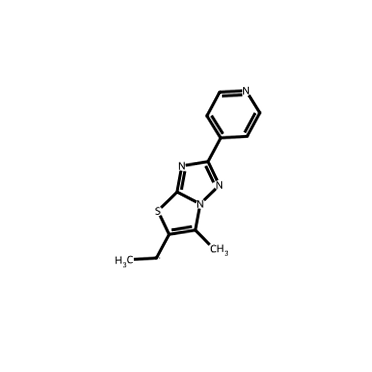 C[CH]c1sc2nc(-c3ccncc3)nn2c1C